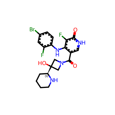 O=C(c1c[nH]c(=O)c(F)c1Nc1ccc(Br)cc1F)N1CC(O)([C@@H]2CCCCN2)C1